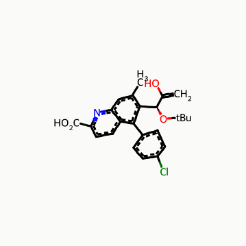 C=C(O)[C@@H](OC(C)(C)C)c1c(C)cc2nc(C(=O)O)ccc2c1-c1ccc(Cl)cc1